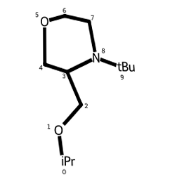 CC(C)OCC1COCCN1C(C)(C)C